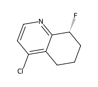 F[C@@H]1CCCc2c(Cl)ccnc21